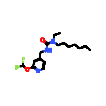 CCCCCCCN(CC)C(=O)NCc1ccnc(OC(F)F)c1